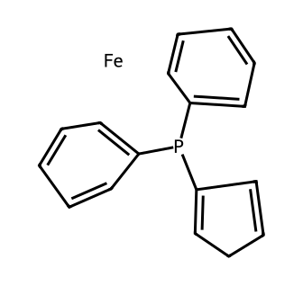 C1=CC(P(c2ccccc2)c2ccccc2)=CC1.[Fe]